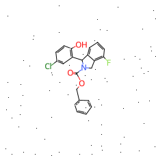 O=C(OCc1ccccc1)N1Cc2c(F)cccc2C1c1cc(Cl)ccc1O